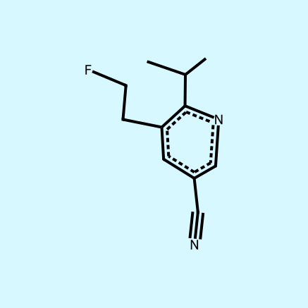 CC(C)c1ncc(C#N)cc1CCF